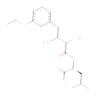 CCOc1cccc(CC(N)C(O)C(=O)N[C@@H](CC(C)C)C(=O)O)c1